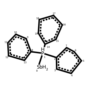 [SbH2][PH](c1ccccc1)(c1ccccc1)c1ccccc1